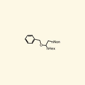 [CH2]CCCCCCCCCC(CCCCCC)OCc1ccccc1